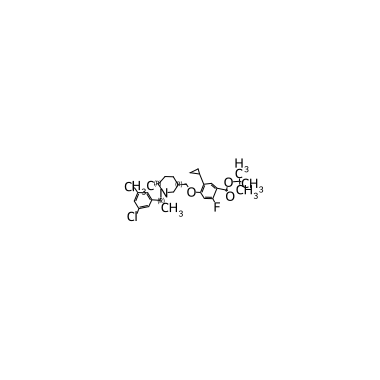 C[C@@H]1CC[C@@H](COc2cc(F)c(C(=O)OC(C)(C)C)cc2C2CC2)CN1[C@H](C)c1cc(Cl)cc(Cl)c1